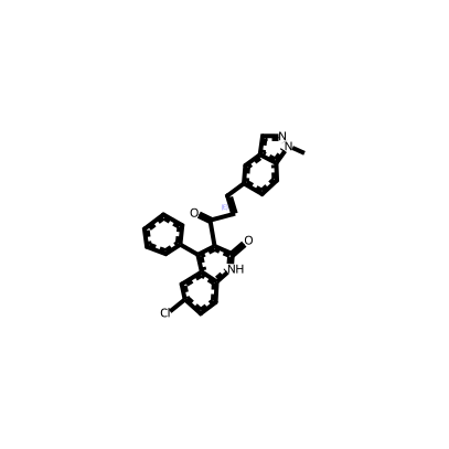 Cn1ncc2cc(/C=C/C(=O)c3c(-c4ccccc4)c4cc(Cl)ccc4[nH]c3=O)ccc21